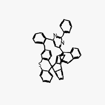 c1ccc(-c2nc(-c3ccccc3-c3ccc4c(c3)Sc3ccccc3C43c4ccccc4-c4ccccc43)cc(-c3cccc4ccccc34)n2)cc1